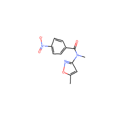 Cc1cc(N(C)C(=O)c2ccc([N+](=O)[O-])cc2)no1